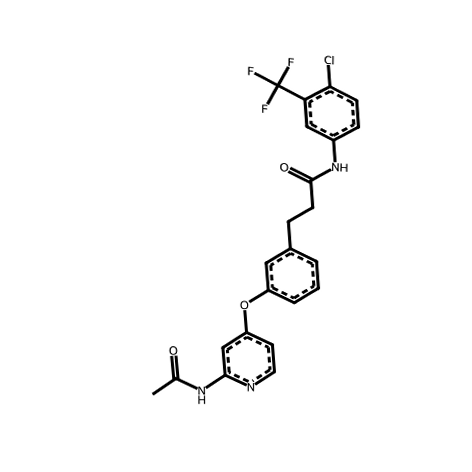 CC(=O)Nc1cc(Oc2cccc(CCC(=O)Nc3ccc(Cl)c(C(F)(F)F)c3)c2)ccn1